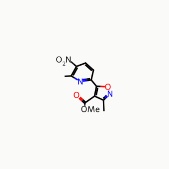 COC(=O)c1c(C)noc1-c1ccc([N+](=O)[O-])c(C)n1